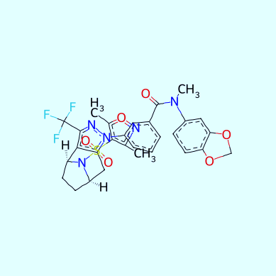 Cc1noc(C)c1S(=O)(=O)N1[C@@H]2CC[C@H]1c1c(C(F)(F)F)nn(-c3cccc(C(=O)N(C)c4ccc5c(c4)OCO5)c3)c1C2